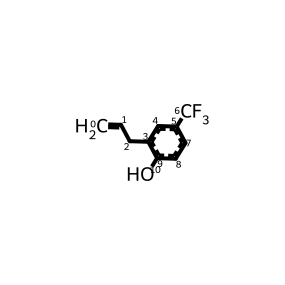 C=CCc1cc(C(F)(F)F)ccc1O